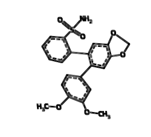 COc1ccc(-c2cc3c(cc2-c2ccccc2S(N)(=O)=O)OCO3)cc1OC